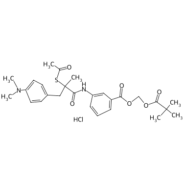 CC(=O)SC(C)(Cc1ccc(N(C)C)cc1)C(=O)Nc1cccc(C(=O)OCOC(=O)C(C)(C)C)c1.Cl